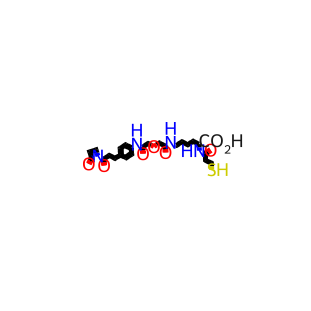 O=C(COCC(=O)Nc1ccc(CCC(=O)N2CCC2=O)cc1)NCCCCC(NC(=O)CCS)C(=O)O